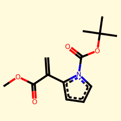 C=C(C(=O)OC)c1cccn1C(=O)OC(C)(C)C